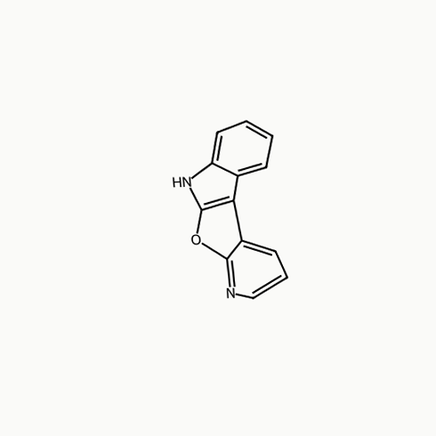 c1ccc2c(c1)[nH]c1oc3ncccc3c12